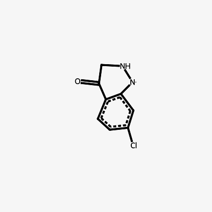 O=C1CN[N]c2cc(Cl)ccc21